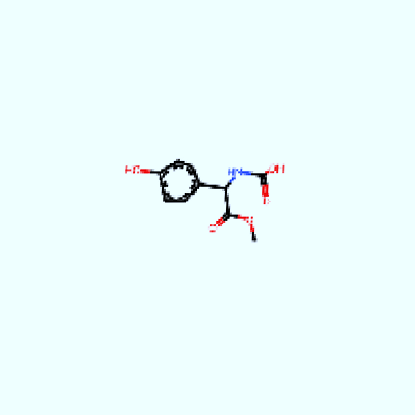 COC(=O)C(NC(=O)O)c1ccc(O)cc1